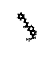 NNc1cc2c(nn1)CCN(C(=O)CCCc1ccccc1)C2